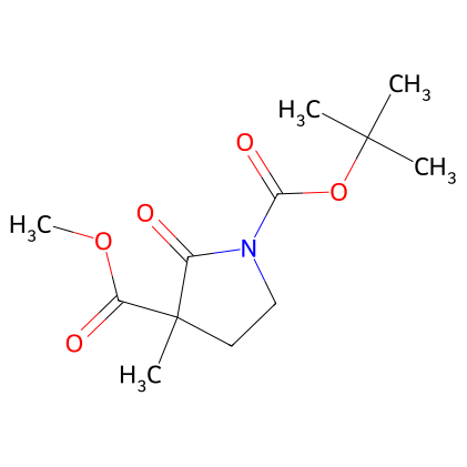 COC(=O)C1(C)CCN(C(=O)OC(C)(C)C)C1=O